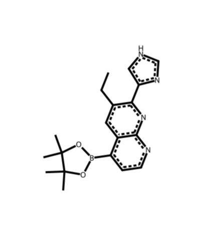 CCc1cc2c(B3OC(C)(C)C(C)(C)O3)ccnc2nc1-c1c[nH]cn1